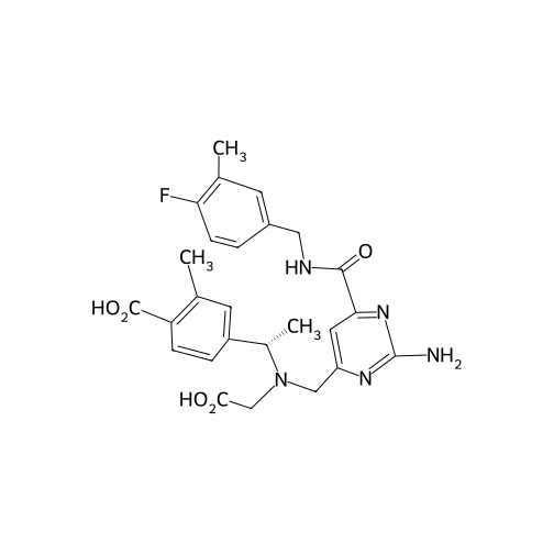 Cc1cc(CNC(=O)c2cc(CN(CC(=O)O)[C@@H](C)c3ccc(C(=O)O)c(C)c3)nc(N)n2)ccc1F